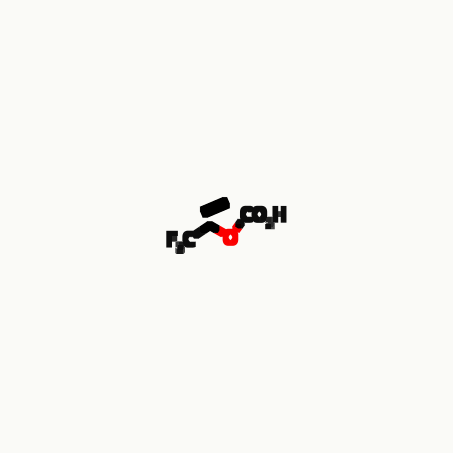 C=C.O=C(O)OCC(F)(F)F